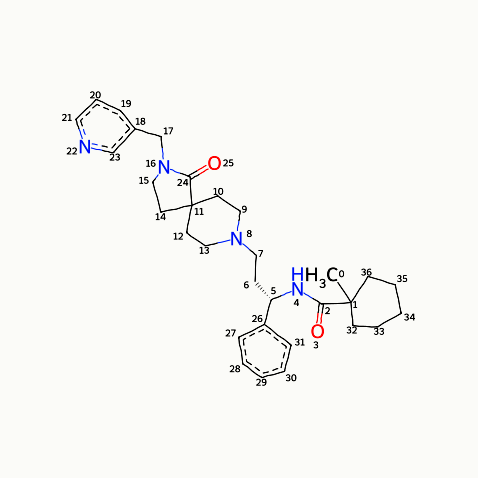 CC1(C(=O)N[C@@H](CCN2CCC3(CC2)CCN(Cc2cccnc2)C3=O)c2ccccc2)CCCCC1